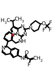 C=C(F)C(=O)Nc1ccc2c(-c3ccccc3CNc3nc(N4CCC(OC(F)(F)F)CC4)nc4c(C(C)C)cnn34)nccc2c1